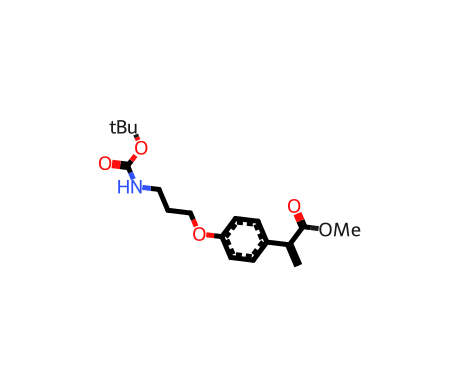 C=C(C(=O)OC)c1ccc(OCCCNC(=O)OC(C)(C)C)cc1